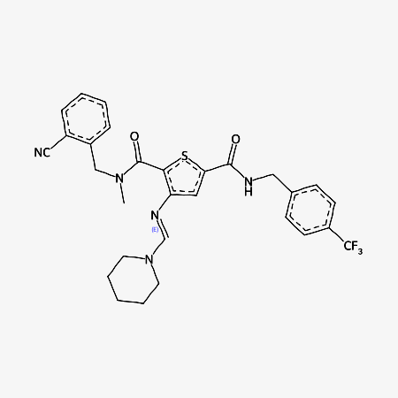 CN(Cc1ccccc1C#N)C(=O)c1sc(C(=O)NCc2ccc(C(F)(F)F)cc2)cc1/N=C/N1CCCCC1